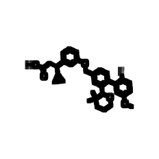 COc1ccc(F)c(-c2ccc(COc3cccc([C@H](CC(=O)O)C4CC4)c3)cc2C2OCCCC2(C)C)c1